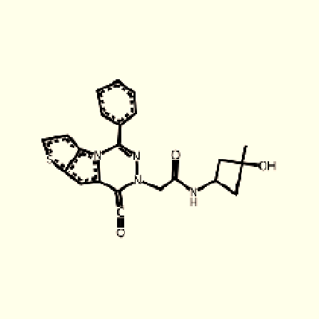 CC1(O)CC(NC(=O)CN2N=C(c3ccccc3)n3c(cc4sccc43)C2=C=O)C1